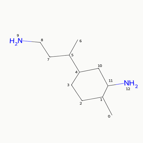 CC1CCC(C(C)CCN)CC1N